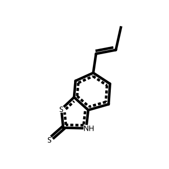 C/C=C/c1ccc2[nH]c(=S)sc2c1